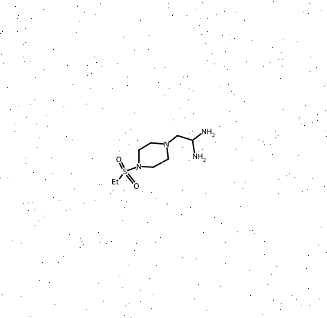 CCS(=O)(=O)N1CCN(CC(N)N)CC1